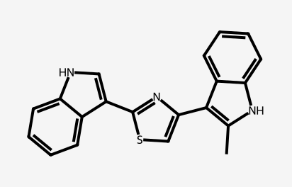 Cc1[nH]c2ccccc2c1-c1csc(-c2c[nH]c3ccccc23)n1